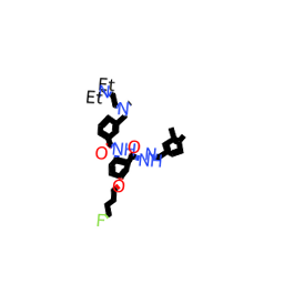 CCN(CC)CCN(C)Cc1cccc(C(=O)Nc2ccc(OCCCCF)cc2C(=O)NN=Cc2ccc(C)c(C)c2)c1